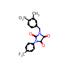 Cc1cc(CN2C(=O)C(=O)N(c3ccc(C(F)(F)F)cc3)C2=O)ccc1[N+](=O)[O-]